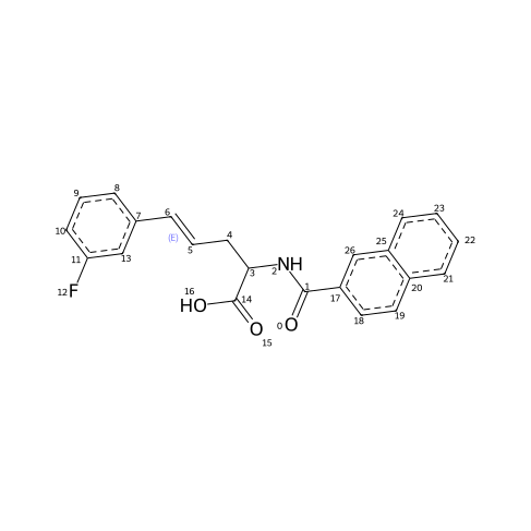 O=C(NC(C/C=C/c1cccc(F)c1)C(=O)O)c1ccc2ccccc2c1